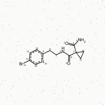 NC(=O)C1(C(=O)NCCc2ccc(Br)cn2)CC1